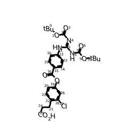 CC(C)(C)OC(=O)N=C(NC(=O)OC(C)(C)C)Nc1ccc(C(=O)Oc2ccc(CCC(=O)O)c(Cl)c2)cc1